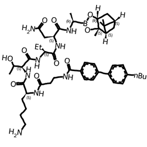 CCCCc1ccc(-c2ccc(C(=O)NCCC(=O)N[C@@H](CCCCN)C(=O)N[C@H](C(=O)N[C@@H](CC)C(=O)N[C@@H](CC(N)=O)C(=O)N[C@@H](C)B3O[C@@H]4C[C@@H]5C[C@@H](C5(C)C)[C@]4(C)O3)C(C)O)cc2)cc1